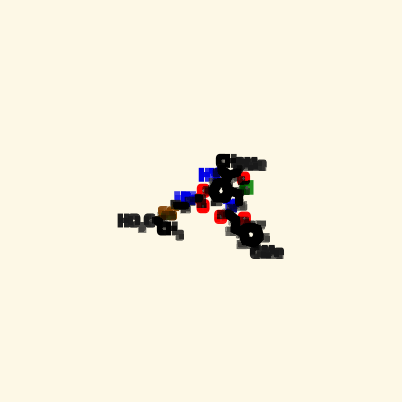 COC(=O)c1c(C)[nH]c2c(OC(=O)NCCSSC(C)C(=O)O)cc3c(c12)[C@H](Cl)CN3C(=O)c1cc2cc(OC)ccc2o1